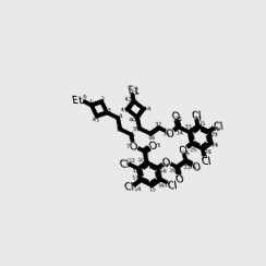 CCC1CC(CCCOC(=O)c2c(Cl)c(Cl)cc(Cl)c2OC(=O)C(=O)Oc2c(Cl)cc(Cl)c(Cl)c2C(=O)OCCCC2CC(CC)C2)C1